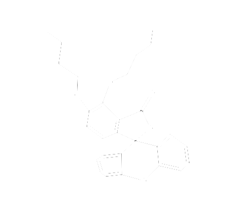 CCCCOc1ccc2c(c1OCCCC)C(=O)OC21c2ccccc2Oc2ccccc21